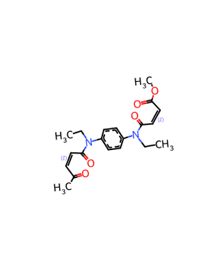 CCN(C(=O)/C=C\C(C)=O)c1ccc(N(CC)C(=O)/C=C\C(=O)OC)cc1